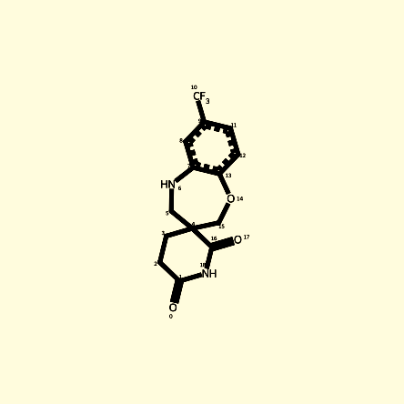 O=C1CCC2(CNc3cc(C(F)(F)F)ccc3OC2)C(=O)N1